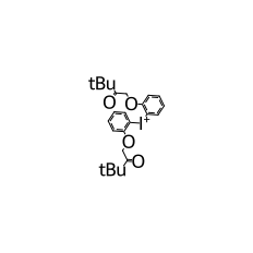 CC(C)(C)C(=O)COc1ccccc1[I+]c1ccccc1OCC(=O)C(C)(C)C